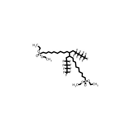 CCOP(=O)(CCCCCCCCCC(CC(F)(F)C(F)(F)C(F)(F)C(F)(F)F)C(CCCCCCCCCP(=O)(OCC)OCC)CC(F)(F)C(F)(F)C(F)(F)C(F)(F)F)OCC